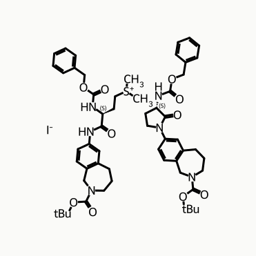 CC(C)(C)OC(=O)N1CCCc2cc(N3CC[C@H](NC(=O)OCc4ccccc4)C3=O)ccc2C1.C[S+](C)CC[C@H](NC(=O)OCc1ccccc1)C(=O)Nc1ccc2c(c1)CCCN(C(=O)OC(C)(C)C)C2.[I-]